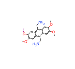 COc1cc2c(CN)c3cc(OC)c(OI)cc3c(CN)c2cc1OC